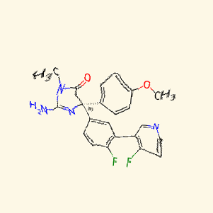 COc1ccc([C@]2(c3ccc(F)c(-c4cnccc4F)c3)N=C(N)N(C)C2=O)cc1